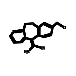 C/C(C#N)=C1/c2ccc(CCl)cc2OCc2ncccc21